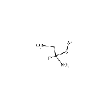 CC(=O)SC(F)(C[N+](=O)[O-])[N+](=O)[O-]